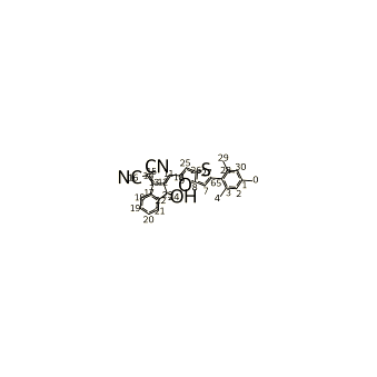 Cc1cc(C)c(-c2cc3oc(/C=C4/C(=C(C#N)C#N)c5ccccc5C4O)cc3s2)c(C)c1